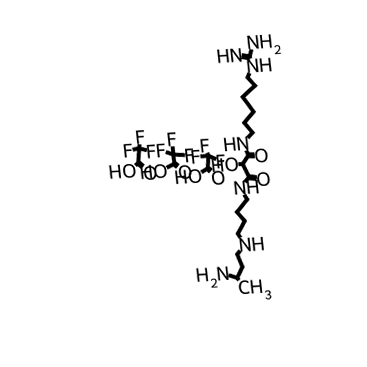 CC(N)CCNCCCCNC(=O)C(O)C(=O)NCCCCCCNC(=N)N.O=C(O)C(F)(F)F.O=C(O)C(F)(F)F.O=C(O)C(F)(F)F